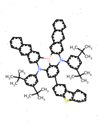 CC(C)(C)c1cc(N2c3cc4cc5ccccc5cc4cc3B3c4cc5cc6ccccc6cc5cc4N(c4cc(C(C)(C)C)cc(C(C)(C)C)c4)c4cc(-c5ccc6sc7ccccc7c6c5)cc2c43)cc(C(C)(C)C)c1